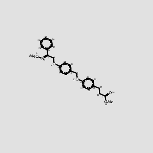 CON=C(COc1ccc(COc2ccc(CCC(=O)OC)cc2)cc1)c1ccccc1